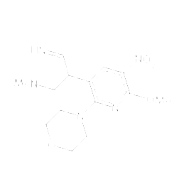 CN/C=C(\C=N)c1cc([N+](=O)[O-])c(OC)nc1N1CCOCC1